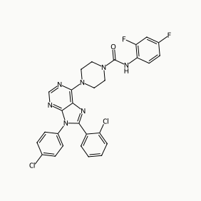 O=C(Nc1ccc(F)cc1F)N1CCN(c2ncnc3c2nc(-c2ccccc2Cl)n3-c2ccc(Cl)cc2)CC1